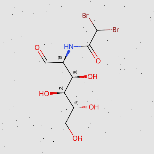 O=C[C@@H](NC(=O)C(Br)Br)[C@@H](O)[C@H](O)[C@H](O)CO